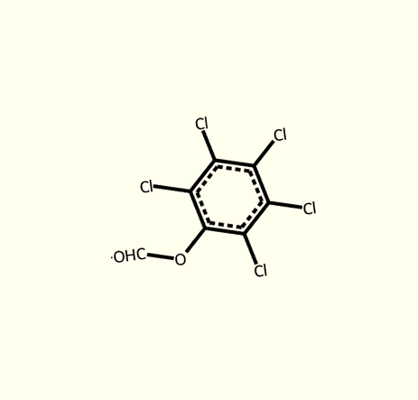 O=[C]Oc1c(Cl)c(Cl)c(Cl)c(Cl)c1Cl